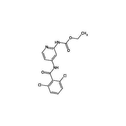 CCOC(=O)Nc1cc(NC(=O)c2c(Cl)cccc2Cl)ccn1